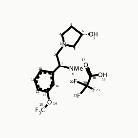 CN[C@H](CN1CC[C@H](O)C1)c1cccc(OC(F)(F)F)c1.O=C(O)C(F)(F)F